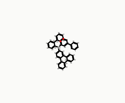 c1ccc(-c2cccc(N(c3ccc4c5ccccc5c5ccccc5c4c3)c3ccccc3-c3ccccc3)c2)cc1